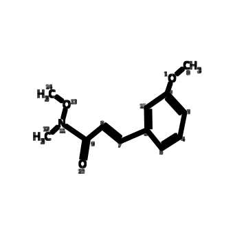 COc1cccc(C=CC(=O)N(C)OC)c1